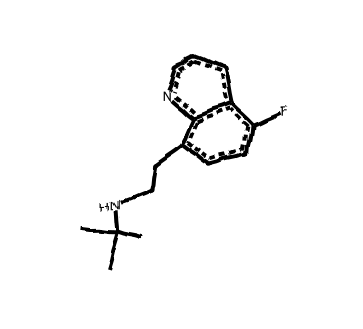 CC(C)(C)NCCc1ccc(F)c2cccnc12